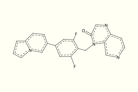 O=c1cnc2ccncc2n1Cc1c(F)cc(-c2ccc3cccn3c2)cc1F